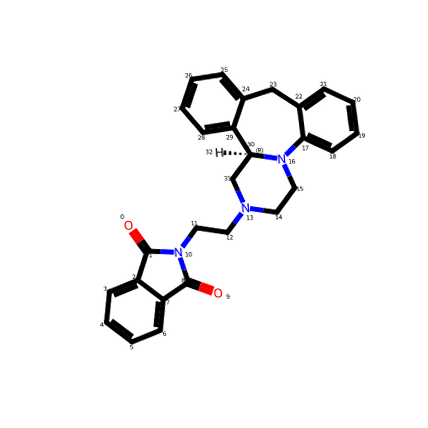 O=C1c2ccccc2C(=O)N1CCN1CCN2c3ccccc3Cc3ccccc3[C@@H]2C1